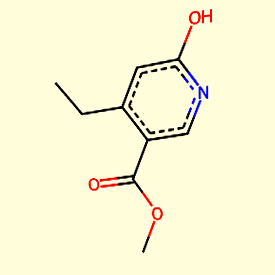 CCc1cc(O)ncc1C(=O)OC